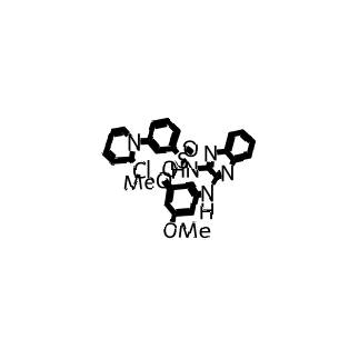 COc1cc(Nc2nc3ccccc3nc2NS(=O)(=O)c2cccc(N3C=CC=CC3Cl)c2)cc(OC)c1